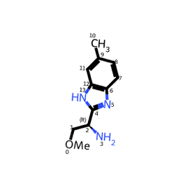 COC[C@H](N)c1nc2ccc(C)cc2[nH]1